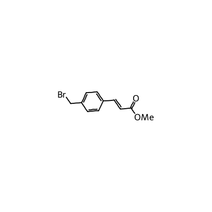 COC(=O)C=Cc1ccc(CBr)cc1